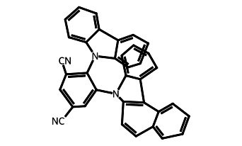 N#Cc1cc(C#N)c(-n2c3ccccc3c3ccccc32)c(-n2c3ccccc3c3c4ccccc4ccc32)c1